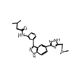 CC(C)CC(=O)Nc1cccc(-c2n[nH]c3ccc(-c4n[nH]c(CN(C)C)n4)cc23)c1